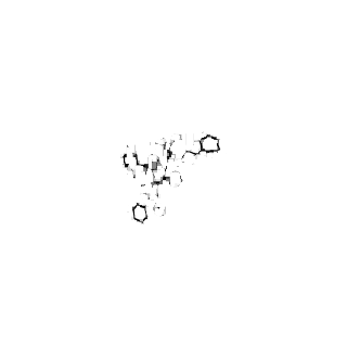 O=C(N[C@H](CS(=O)(=O)c1ccccc1)C(=O)N[C@@H](CCCc1ccccc1)B(O)O)c1cnccn1